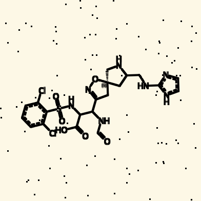 O=CNC(C1=NO[C@]2(CNC(CNc3ncc[nH]3)C2)C1)C(NS(=O)(=O)c1c(Cl)cccc1Cl)C(=O)O